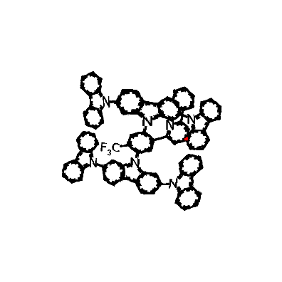 FC(F)(F)c1cc(-n2c3cc(-n4c5ccccc5c5ccccc54)ccc3c3ccc(-n4c5ccccc5c5ccccc54)cc32)c(-c2cccc(-c3ccccc3)n2)cc1-n1c2cc(-n3c4ccccc4c4ccccc43)ccc2c2ccc(-n3c4ccccc4c4ccccc43)cc21